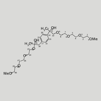 COCCOCCOCCOCC(C)(O)c1ccc(CC(C)(O)OCCOCCOCCOC)cc1